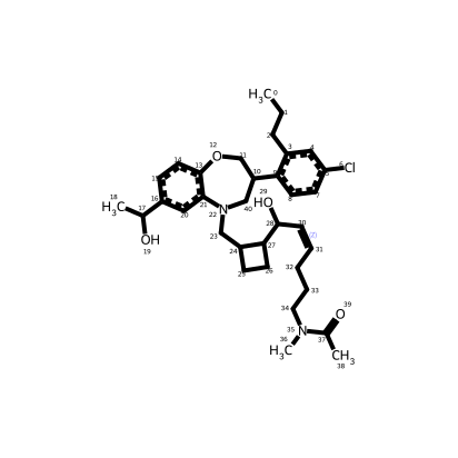 CCCc1cc(Cl)ccc1C1COc2ccc(C(C)O)cc2N(CC2CCC2C(O)/C=C\CCCN(C)C(C)=O)C1